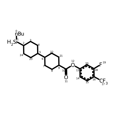 CCCC[SiH2]C1CCC(C2CCC(C(=O)Oc3ccc(C(F)(F)F)c(F)c3)CC2)CC1